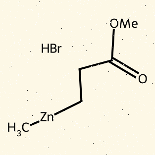 Br.COC(=O)C[CH2][Zn][CH3]